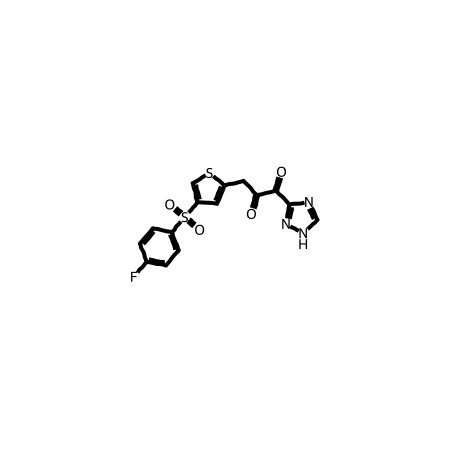 O=C(Cc1cc(S(=O)(=O)c2ccc(F)cc2)cs1)C(=O)c1nc[nH]n1